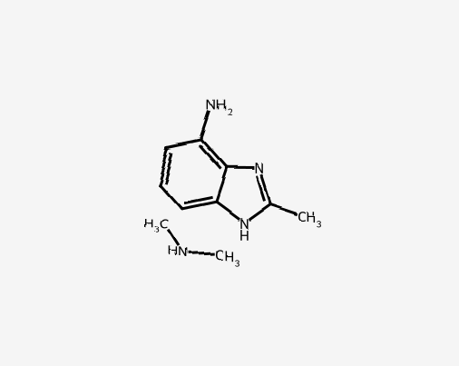 CNC.Cc1nc2c(N)cccc2[nH]1